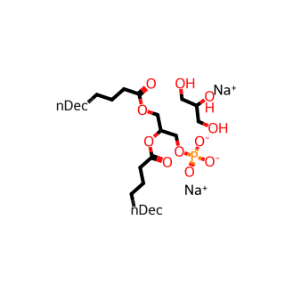 CCCCCCCCCCCCCC(=O)OCC(COP(=O)([O-])[O-])OC(=O)CCCCCCCCCCCCC.OCC(O)CO.[Na+].[Na+]